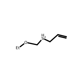 C=CC[SiH2]COCC